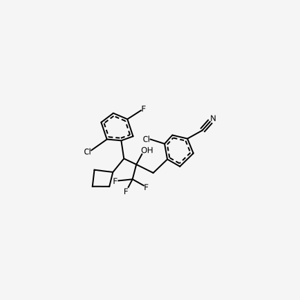 N#Cc1ccc(CC(O)(C(c2cc(F)ccc2Cl)C2CCC2)C(F)(F)F)c(Cl)c1